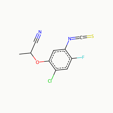 CC(C#N)Oc1cc(N=C=S)c(F)cc1Cl